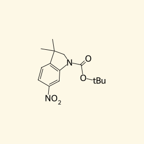 CC(C)(C)OC(=O)N1CC(C)(C)c2ccc([N+](=O)[O-])cc21